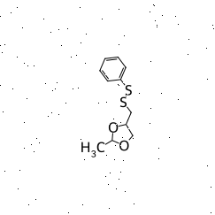 CC1OCC(CSSc2ccccc2)O1